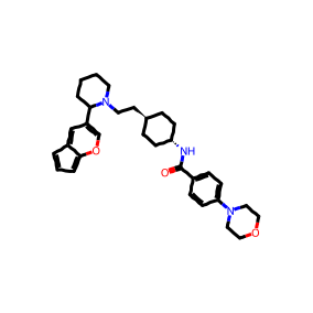 O=C(N[C@H]1CC[C@H](CCN2CCCCC2c2coc3cccc-3c2)CC1)c1ccc(N2CCOCC2)cc1